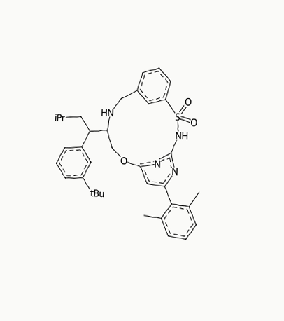 Cc1cccc(C)c1-c1cc2nc(n1)NS(=O)(=O)c1cccc(c1)CNC(C(CC(C)C)c1cccc(C(C)(C)C)c1)CO2